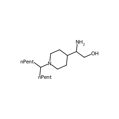 CCCCCC(CCCCC)N1CCC(C(N)CO)CC1